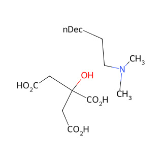 CCCCCCCCCCCCN(C)C.O=C(O)CC(O)(CC(=O)O)C(=O)O